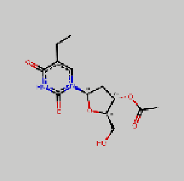 CCc1cn([C@H]2C[C@H](OC(C)=O)[C@@H](CO)O2)c(=O)[nH]c1=O